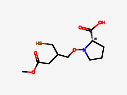 COC(=O)CC(CS)CON1CCC[C@H]1C(=O)O